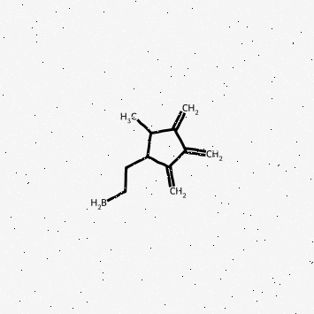 BCCC1C(=C)C(=C)C(=C)C1C